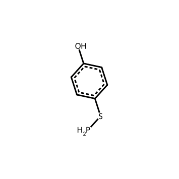 Oc1ccc(SP)cc1